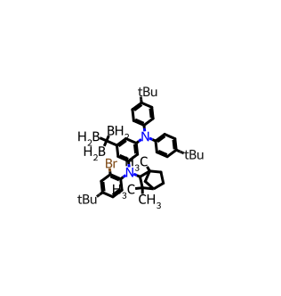 BC(B)(B)c1cc(N(c2ccc(C(C)(C)C)cc2)c2ccc(C(C)(C)C)cc2)cc(N(c2ccc(C(C)(C)C)cc2Br)C2C3(C)CCC(C3)C2(C)C)c1